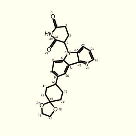 O=C1CCC(n2c3ccc(C4CCC5(CC4)OCCO5)cc3c3ncccc32)C(=O)N1